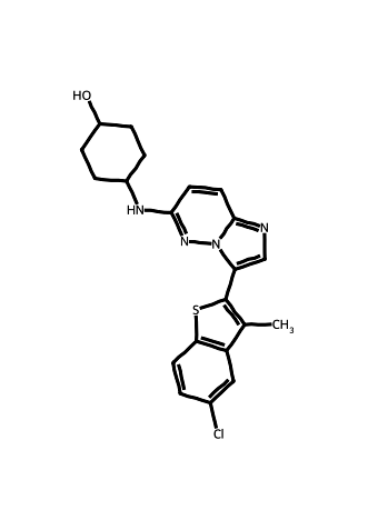 Cc1c(-c2cnc3ccc(NC4CCC(O)CC4)nn23)sc2ccc(Cl)cc12